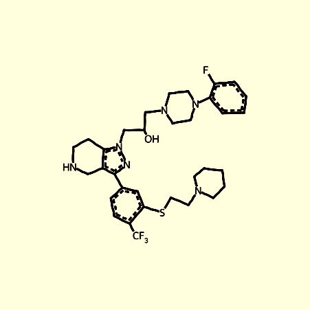 OC(CN1CCN(c2ccccc2F)CC1)Cn1nc(-c2ccc(C(F)(F)F)c(SCCN3CCCCC3)c2)c2c1CCNC2